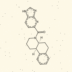 O=C(c1ccc2[nH]cnc2n1)N1CCC[C@@H]2c3ccccc3CC[C@@H]21